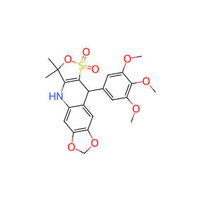 COc1cc(C2C3=C(Nc4cc5c(cc42)OCO5)C(C)(C)OS3(=O)=O)cc(OC)c1OC